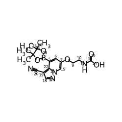 CC1(C)OB(c2cc(OCCNC(=O)O)cn3ncc(C#N)c23)OC1(C)C